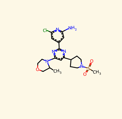 CC1COCCN1c1cc(C2CCN(S(C)(=O)=O)CC2)nc(-c2cc(N)nc(Cl)c2)n1